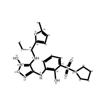 CC[C@@H](Nc1c(Nc2cccc(S(=O)(=O)N3CCCC3)c2O)no[n+]1O)c1ccc(C)o1